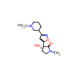 CN1CC[C@@](O)(c2cc(C3CCCN(C(=O)O)C3)no2)C1=O